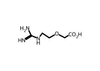 N=C(N)NCCOCC(=O)O